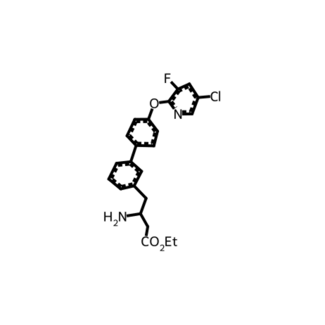 CCOC(=O)CC(N)Cc1cccc(-c2ccc(Oc3ncc(Cl)cc3F)cc2)c1